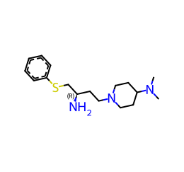 CN(C)C1CCN(CC[C@@H](N)CSc2ccccc2)CC1